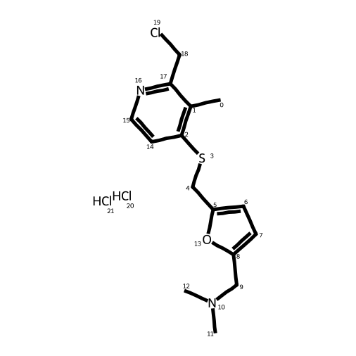 Cc1c(SCc2ccc(CN(C)C)o2)ccnc1CCl.Cl.Cl